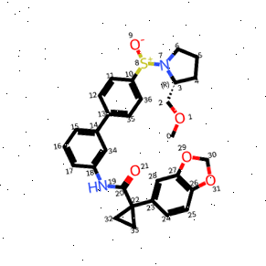 COC[C@H]1CCCN1[S+]([O-])c1ccc(-c2cccc(NC(=O)C3(c4ccc5c(c4)OCO5)CC3)c2)cc1